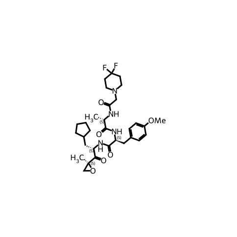 COc1ccc(C[C@H](NC(=O)[C@H](C)NC(=O)CN2CCC(F)(F)CC2)C(=O)N[C@@H](CC2CCCC2)C(=O)[C@]2(C)CO2)cc1